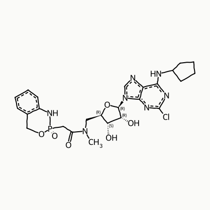 CN(C[C@H]1O[C@@H](n2cnc3c(NC4CCCC4)nc(Cl)nc32)[C@H](O)[C@@H]1O)C(=O)CP1(=O)Nc2ccccc2CO1